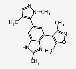 Cc1nc2c(-c3c(C)noc3C)cc(-c3c(C)cnn3C)cc2[nH]1